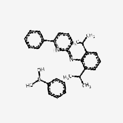 CC(C)c1cccc(C(C)C)c1/N=c1\cccc(-c2ccccc2)[nH]1.OB(O)c1ccccc1